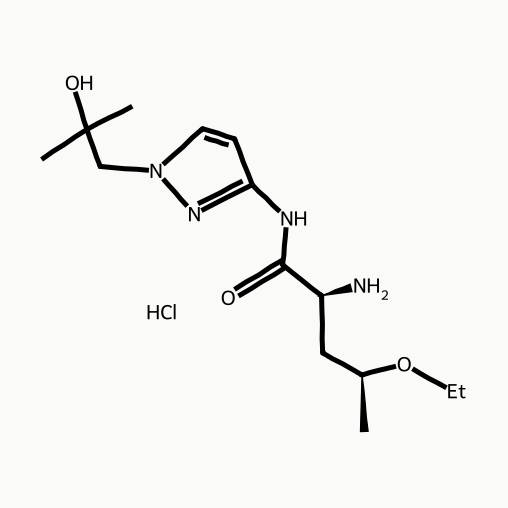 CCO[C@@H](C)C[C@H](N)C(=O)Nc1ccn(CC(C)(C)O)n1.Cl